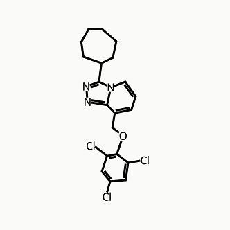 Clc1cc(Cl)c(OCc2cccn3c(C4CCCCCC4)nnc23)c(Cl)c1